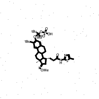 CO/N=C1\C[C@@H](CCC(=O)Nc2ncc(C)s2)C2C3CCc4cc(OC(OP(=O)(O)O)(C(C)(C)C)C(C)(C)C)c(C(C)(C)C)cc4C3CC[C@]12C